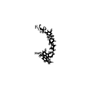 C=CC(=O)Nc1cc(F)cc(S(=O)(=O)c2ccc(N3CC(CN4CCC(C(CN5CCC5)(c5cccc(F)c5)[C@H]5CCC[C@@H]5NC(=O)OC)CC4)C3)cc2)c1